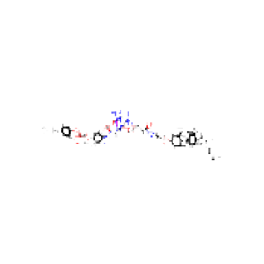 CC(C)CCC[C@@H](C)[C@H]1CC[C@H]2[C@@H]3CC=C4CC(OCCCNC(=O)CCC(=O)N[C@@H](CC(N)=O)C(=O)NCC(=O)Nc5ccc(COC(=O)Oc6ccc([N+](=O)[O-])cc6)cc5)CC[C@]4(C)[C@H]3CC[C@]12C